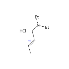 C/C=C/CN(CC)CC.Cl